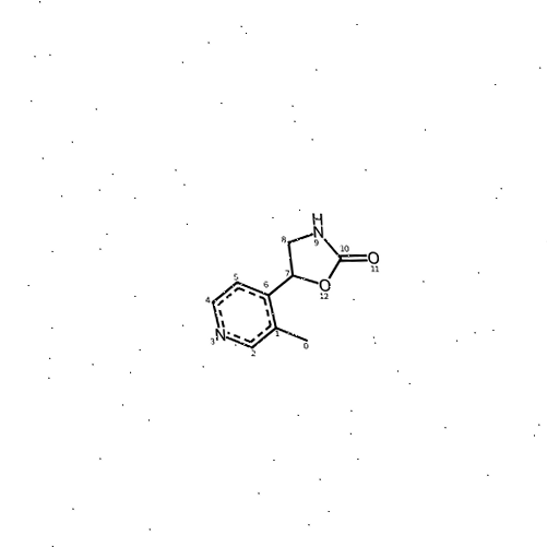 Cc1cnccc1C1CNC(=O)O1